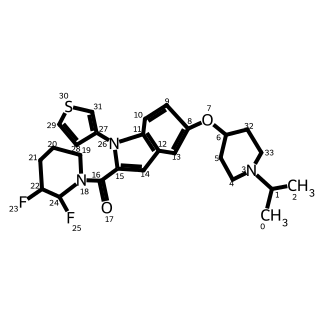 CC(C)N1CCC(Oc2ccc3c(c2)cc(C(=O)N2CCCC(F)C2F)n3-c2ccsc2)CC1